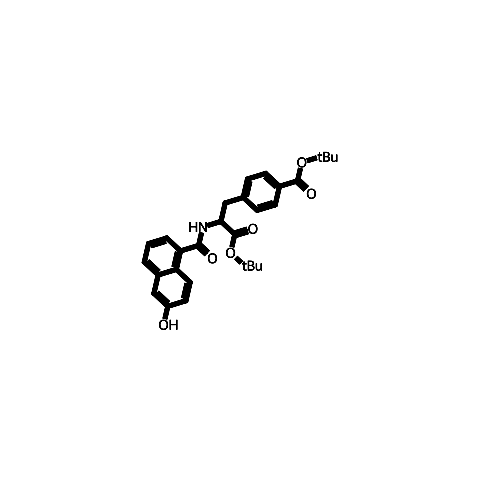 CC(C)(C)OC(=O)c1ccc(CC(NC(=O)c2cccc3cc(O)ccc23)C(=O)OC(C)(C)C)cc1